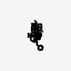 CC[C@H](NC)C(=O)N[C@H](C(=O)N1CC[C@H]2CCCN(CCc3ccccc3)C(=O)[C@H]21)C(C)C